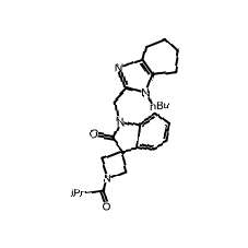 CCCCn1c(CN2C(=O)C3(CN(C(=O)C(C)C)C3)c3ccccc32)nc2c1CCCC2